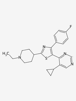 CCN1CCC(c2nc(-c3ccc(F)cc3)c(-c3n[c]ncc3C3CC3)s2)CC1